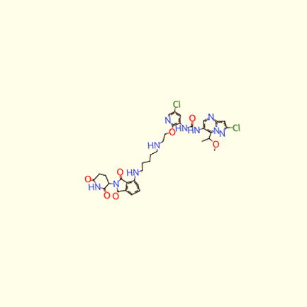 COC(C)c1c(NC(=O)Nc2cc(Cl)cnc2OCCNCCCCCNc2cccc3c2C(=O)N(C2CCC(=O)NC2=O)C3=O)cnc2cc(Cl)nn12